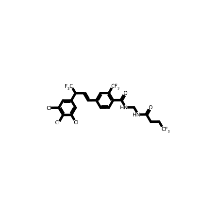 O=C(CCC(F)(F)F)NCNC(=O)c1ccc(C=CC(c2cc(Cl)c(Cl)c(Cl)c2)C(F)(F)F)cc1C(F)(F)F